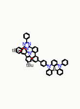 CC(C)(C)c1ccc2c(c1)c1cc(C(C)(C)C)ccc1n2-c1c(-c2cccc(-c3ccc(N4c5ccccc5B5c6ccccc6N(c6ccccc6)c6cccc4c65)cc3)c2)cccc1-c1nc(-c2ccccc2)nc(-c2ccccc2)n1